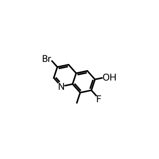 Cc1c(F)c(O)cc2cc(Br)cnc12